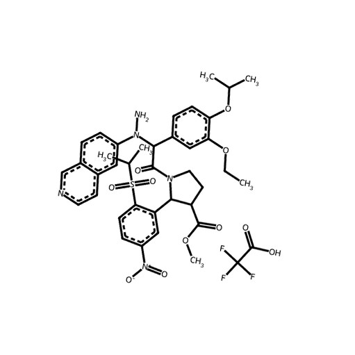 CCOc1cc(C(C(=O)N2CCC(C(=O)OC)C2c2cc([N+](=O)[O-])ccc2S(=O)(=O)C(C)C)N(N)c2ccc3cnccc3c2)ccc1OC(C)C.O=C(O)C(F)(F)F